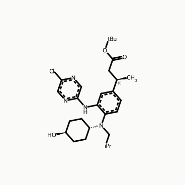 CC(C)CN(c1ccc([C@H](C)CC(=O)OC(C)(C)C)cc1Nc1cnc(Cl)cn1)[C@H]1CC[C@H](O)CC1